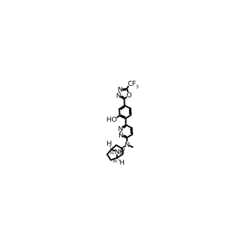 CN(c1ccc(-c2ccc(-c3nnc(C(F)(F)F)o3)cc2O)nn1)[C@H]1C[C@H]2CC[C@@H](C1)N2